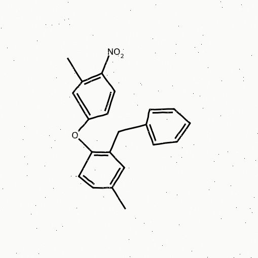 Cc1c[c]c(Oc2ccc([N+](=O)[O-])c(C)c2)c(Cc2ccccc2)c1